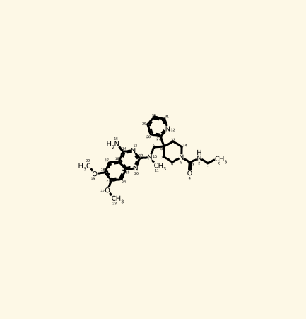 CCNC(=O)N1CCC(CN(C)c2nc(N)c3cc(OC)c(OC)cc3n2)(c2ccccn2)CC1